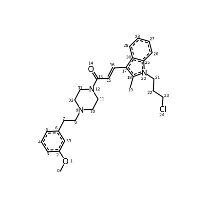 COc1cccc(CCN2CCN(C(=O)/C=C/c3c(C)n(CCCCl)c4ccccc34)CC2)c1